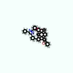 c1ccc(-c2cc(-c3cccc(-c4ccc5c(c4)C4(c6ccccc6C6(c7ccccc7-c7ccccc76)c6ccccc64)c4ccc6c(oc7ccccc76)c4-5)c3)nc(-c3ccccc3)n2)cc1